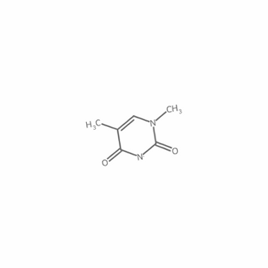 CC1=CN(C)C(=O)[N]C1=O